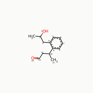 CC(O)Cc1ccccc1C(C)CC=O